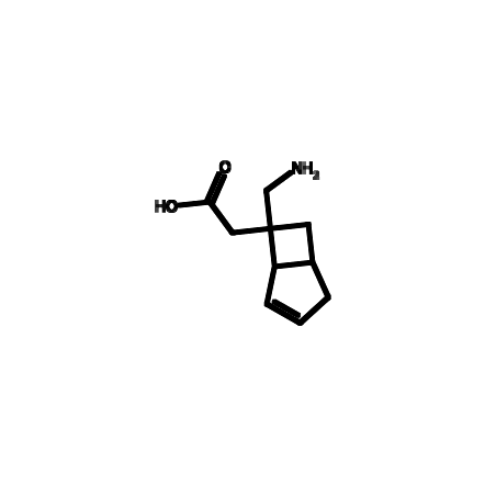 NCC1(CC(=O)O)CC2CC=CC21